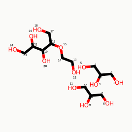 OCC(O)CO.OCC(O)CO.OCCOC(CO)C(O)C(O)CO